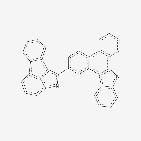 c1ccc2c(c1)nc1c3ccccc3c3ccc(-c4nc5cccc6c7ccccc7c4n56)cc3n21